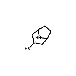 SN1CC2CCC(C1)N2